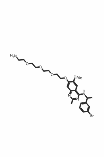 COc1cc2c(NC(C)c3cccc(Br)c3)nc(C)nc2cc1OCCOCCOCCOCCN